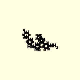 CN1CCN(c2ccc(Nc3nccc(-c4c(-c5cccc(N)c5)nc5n4CCS5)n3)cn2)CC1